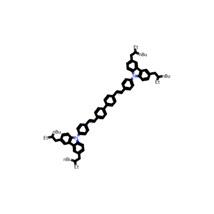 CCCCC(CC)Cc1ccc2c(c1)c1cc(CC(CC)CCCC)ccc1n2-c1ccc(/C=C/c2ccc(-c3ccc(/C=C/c4ccc(-n5c6ccc(CC(CC)CCCC)cc6c6cc(CC(CC)CCCC)ccc65)cc4)cc3)cc2)cc1